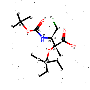 CC[Si](CC)(CC)O[C@@](C)(C(=O)O)[C@H](CF)NC(=O)OC(C)(C)C